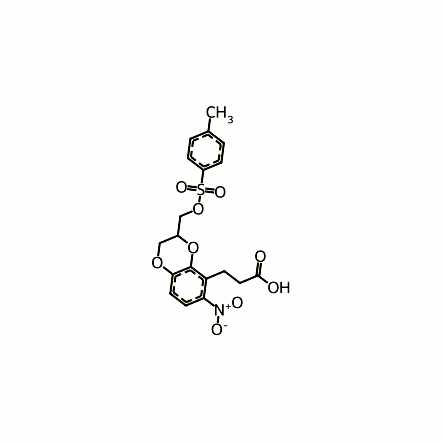 Cc1ccc(S(=O)(=O)OCC2COc3ccc([N+](=O)[O-])c(CCC(=O)O)c3O2)cc1